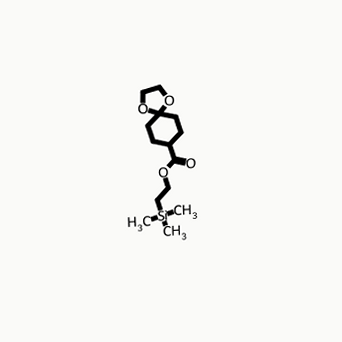 C[Si](C)(C)CCOC(=O)C1CCC2(CC1)OCCO2